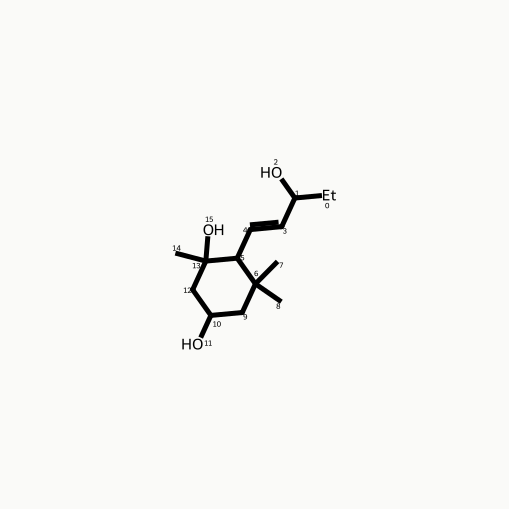 CCC(O)C=CC1C(C)(C)CC(O)CC1(C)O